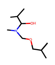 CC(C)COCN(C)C(O)C(C)C